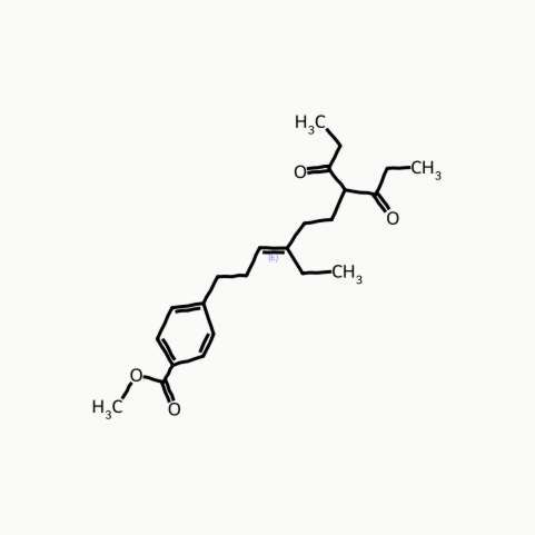 CCC(=O)C(CC/C(=C/CCc1ccc(C(=O)OC)cc1)CC)C(=O)CC